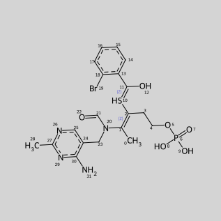 C/C(=C(CCOP(=O)(O)O)/[SH]=C(\O)c1ccccc1Br)N(C=O)Cc1cnc(C)nc1N